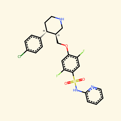 O=S(=O)(Nc1ccccn1)c1cc(F)c(OC[C@@H]2CNCC[C@H]2c2ccc(Cl)cc2)cc1F